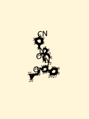 N#Cc1ccc(CN2CCC3(CCN(C[C@H]4CN(C(=O)CC5CC5)C[C@@H]4c4ccccc4)CC3)C2=O)cc1